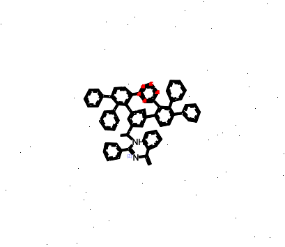 C=C(/N=C(\NC(C)c1cc(-c2ccc(-c3ccccc3)c(-c3ccccc3)c2-c2ccccc2)cc(-c2c(-c3ccccc3)ccc(-c3ccccc3)c2-c2ccccc2)c1)c1ccccc1)c1ccccc1